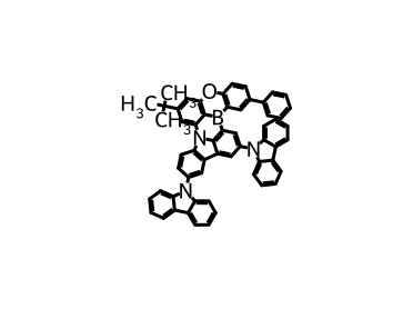 CC(C)(C)c1cc2c3c(c1)-n1c4ccc(-n5c6ccccc6c6ccccc65)cc4c4cc(-n5c6ccccc6c6ccccc65)cc(c41)B3c1cc(-c3ccccc3)ccc1O2